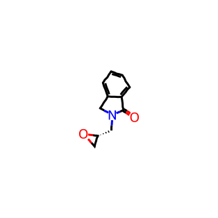 O=C1c2ccccc2CN1C[C@@H]1CO1